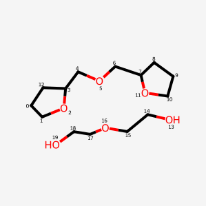 C1COC(COCC2CCCO2)C1.OCCOCCO